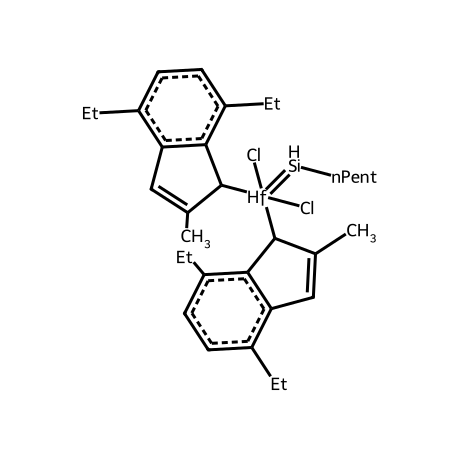 CCCCC[SiH]=[Hf]([Cl])([Cl])([CH]1C(C)=Cc2c(CC)ccc(CC)c21)[CH]1C(C)=Cc2c(CC)ccc(CC)c21